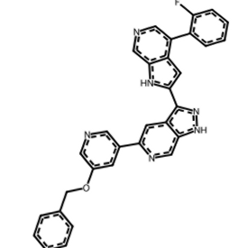 Fc1ccccc1-c1cncc2[nH]c(-c3n[nH]c4cnc(-c5cncc(OCc6ccccc6)c5)cc34)cc12